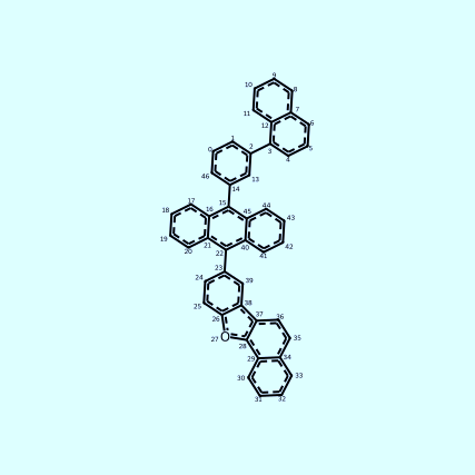 c1cc(-c2cccc3ccccc23)cc(-c2c3ccccc3c(-c3ccc4oc5c6ccccc6ccc5c4c3)c3ccccc23)c1